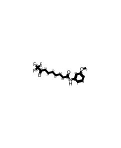 COc1cccc(NC(=O)CCCCCCC(=O)C(F)(F)F)c1